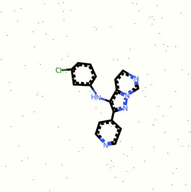 Clc1cccc(Nc2c(-c3ccncc3)nn3cnccc23)c1